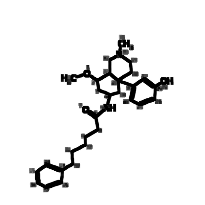 COC1CC(NC(=O)CCCCCc2ccccc2)CC2(c3cccc(O)c3)CCN(C)CC12